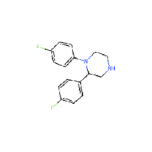 Fc1ccc(C2CNCCN2c2ccc(F)cc2)cc1